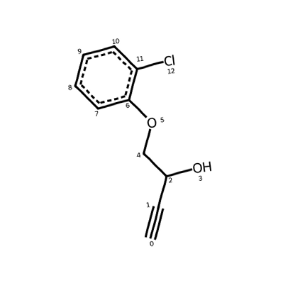 C#CC(O)COc1ccccc1Cl